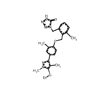 CCOc1c(C)c(-c2ccc(OCc3c(C)cccc3Cn3nn[nH]c3=O)c(C)c2)nn1C